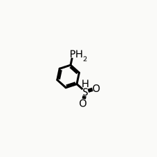 O=[SH](=O)c1cccc(P)c1